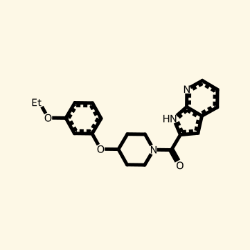 CCOc1cccc(OC2CCN(C(=O)c3cc4cccnc4[nH]3)CC2)c1